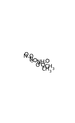 Cc1cc(C(=O)Nc2ccc3c(c2)CCN3C(=O)Cc2ccccn2)cc(-c2ccccc2)c1C